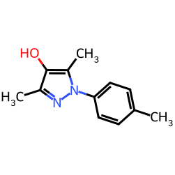 Cc1ccc(-n2nc(C)c(O)c2C)cc1